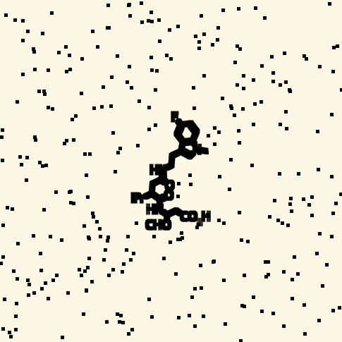 CC(C)C(CC(=O)NCCc1cn(C)c2ccc(F)cc12)C(=O)NC(C=O)CC(=O)O